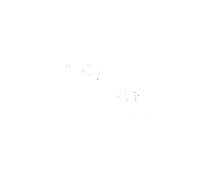 Cc1ccc(S(=O)(=O)OCCOc2cc(C(F)(F)F)c3c(cnn3[C@H]3C[C@@](C)(O)C3)c2)cc1